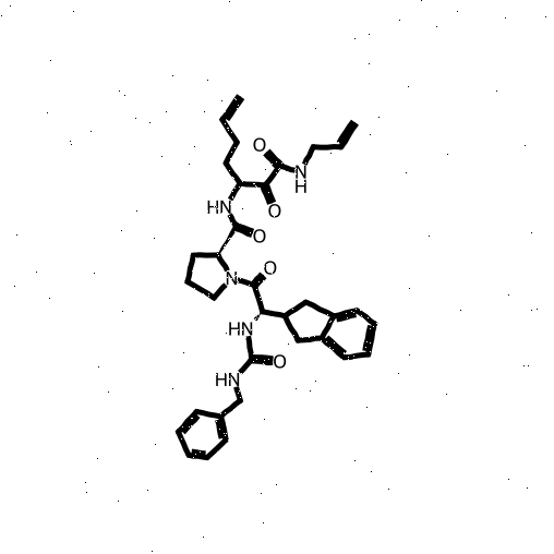 C=CCCC(NC(=O)[C@@H]1CCCN1C(=O)[C@@H](NC(=O)NCc1ccccc1)C1Cc2ccccc2C1)C(=O)C(=O)NCC=C